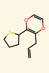 C=CCC1=C(C2CCCS2)OC=CO1